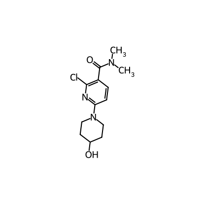 CN(C)C(=O)c1ccc(N2CCC(O)CC2)nc1Cl